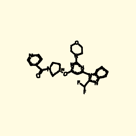 O=C(c1ccncc1)N1CC[C@H](Oc2cc(-n3c(C(F)F)nc4ccccc43)nc(N3CCOCC3)n2)C1